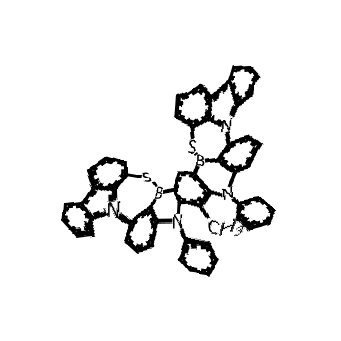 Cc1c2c(cc3c1N(c1ccccc1)c1cccc4c1B3Sc1cccc3c5ccccc5n-4c13)B1Sc3cccc4c5ccccc5n(c34)-c3cccc(c31)N2c1ccccc1